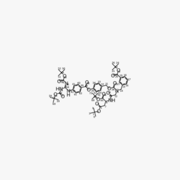 CC(C)(C)OC(=O)CC(NC(=O)CN(Cc1cccc(C(=O)OC(C)(C)C)c1)C(=O)OCc1ccc(OC(=O)c2ccc(NC(=NC(=O)OC(C)(C)C)NC(=O)OC(C)(C)C)cc2)cc1)C(=O)OC(C)(C)C